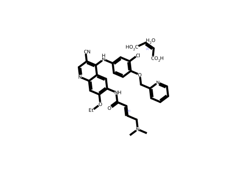 CCOc1cc2ncc(C#N)c(Nc3ccc(OCc4ccccn4)c(Cl)c3)c2cc1NC(=O)/C=C/CN(C)C.O.O=C(O)/C=C\C(=O)O